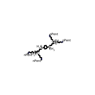 CCCCC/C=C\CCCO[Si](C)(CCCCN(C)C1CCC(N(C)CCCC[Si](C)(OCCC/C=C\CCCCC)OCCC/C=C\CCCCC)CC1)OCCC/C=C\CCCCC